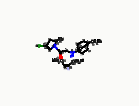 CCOC(=O)C12CCC(NCC(=O)N3C[C@@H](F)C[C@H]3C#N)(CC1)CC2.O=C(O)/C=C\C(=O)O